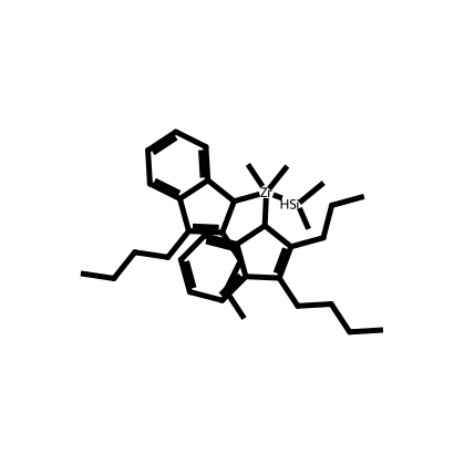 CCCCC1=C(CCC)[CH]([Zr]([CH3])([CH3])([CH]2C(CCC)=C(CCCC)c3ccccc32)[SiH](C)C)c2ccccc21